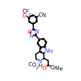 COC(=O)CC1c2[nH]c3ccc(-c4noc(-c5cc(C#N)cc(OC(F)(F)F)c5)n4)cc3c2CCN1C(=O)O